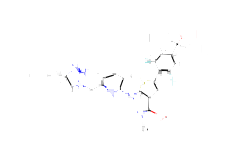 CC(C)(O)c1cc(F)c(-c2cc(C(N)=O)c(Nc3cccc(Cn4cc(C(=O)[O-])nn4)n3)s2)c(F)c1.[K+]